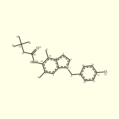 Cc1cc2c(ccn2Cc2ccc(Cl)cc2)c(C)c1NC(=O)CC(C)(C)C